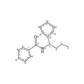 CCCC(NC(=O)c1ccccc1)c1ccccc1